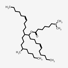 CCCCC/C=C\CCCC(CCCC(C)CCCCC)C(CCC/C=C\CCCCC)OC(=O)CCCCCN(C)C